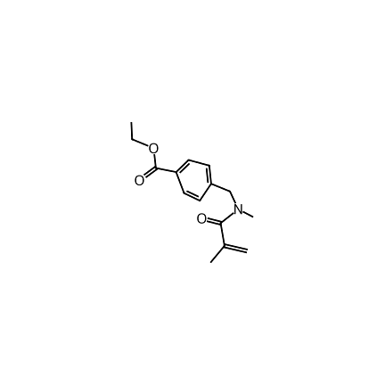 C=C(C)C(=O)N(C)Cc1ccc(C(=O)OCC)cc1